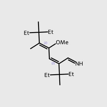 CCC(C)(CC)/C(C=N)=C/C(OC)=C(\C)C(C)(CC)CC